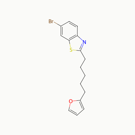 Brc1ccc2nc(CCCCCc3ccco3)sc2c1